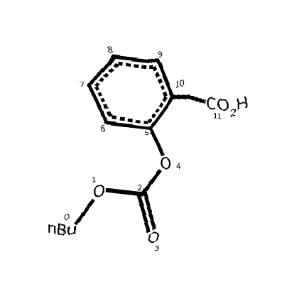 CCCCOC(=O)Oc1ccccc1C(=O)O